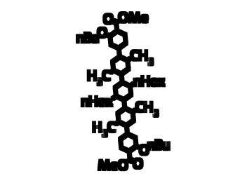 CCCCCCC1CC(C2CC(C)C(C3CCC(C(=O)OC)C(OCCCC)C3)CC2C)C(CCCCCC)CC1C1CC(C)C(C2CCC(C(=O)OC)C(OCCCC)C2)CC1C